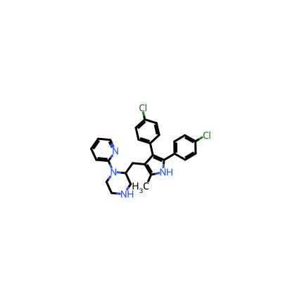 Cc1[nH]c(-c2ccc(Cl)cc2)c(-c2ccc(Cl)cc2)c1CC1CNCCN1c1ccccn1